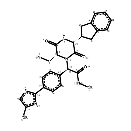 CC(C)C[C@@H]1C(=O)N[C@H](C2Cc3ccccc3C2)C(=O)N1[C@@H](C(=O)NC(C)(C)C)c1ccc(-c2nc(C(C)(C)C)cs2)cc1